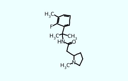 Cc1cccc(C(C)(C)NC(=O)CC2CCCN2C)c1F